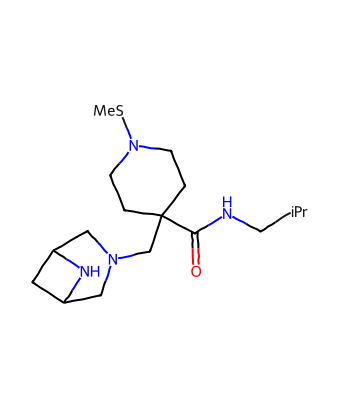 CSN1CCC(CN2CC3CC(C2)N3)(C(=O)NCC(C)C)CC1